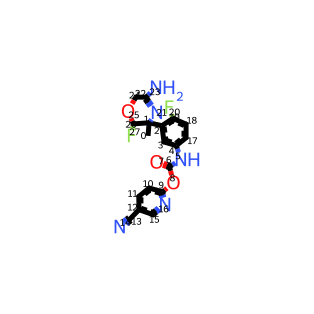 CC1(c2cc(NC(=O)Oc3ccc(C#N)cn3)ccc2F)N=C(N)COC1F